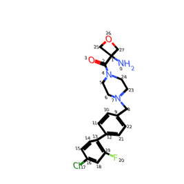 NC1(C(=O)N2CCN(Cc3ccc(-c4ccc(Cl)cc4F)cc3)CC2)COC1